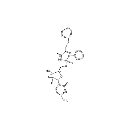 C[C@H](NP(=O)(OC[C@H]1OC(n2ccc(N)nc2=O)C(F)(F)[C@@H]1O)Oc1ccccc1)C(=O)OCc1ccccc1